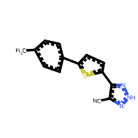 Cc1ccc(-c2ccc(-c3n[nH]nc3C#N)s2)cc1